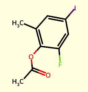 CC(=O)Oc1c(C)cc(I)cc1F